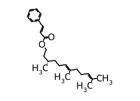 CC(C)=CCC/C(C)=C/CC[C@H](C)CCOC(=O)/C=C/c1ccccc1